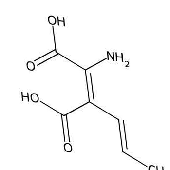 CC=CC(C(=O)O)=C(N)C(=O)O